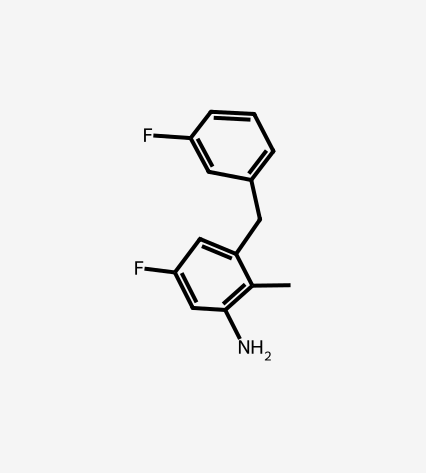 Cc1c(N)cc(F)cc1Cc1cccc(F)c1